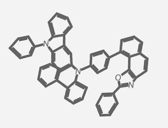 c1ccc(-c2nc3ccc4cccc(-c5ccc(N(c6ccc7c(c6)c6ccccc6n7-c6ccccc6)c6ccccc6-c6ccccc6)cc5)c4c3o2)cc1